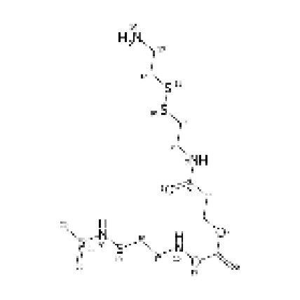 C=C(OCCC(=O)NCCSSCCN)ONCCSNS(=C)C